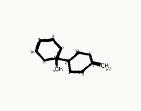 C=C1CCC(C2(O)CCCCC2)CC1